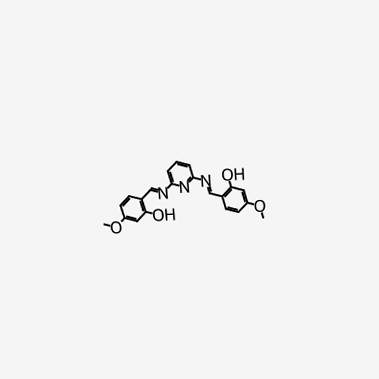 COc1ccc(C=Nc2cccc(N=Cc3ccc(OC)cc3O)n2)c(O)c1